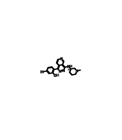 CCc1ccc(-c2nnc(N[C@@H]3CCCN(C)C3)c3cnccc23)c(O)c1